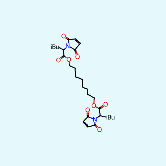 CCC(C)C(C(=O)OCCCCCCCCOC(=O)C(C(C)CC)N1C(=O)C=CC1=O)N1C(=O)C=CC1=O